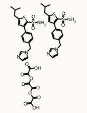 CC(C)Cc1cc(-c2ccc(Cn3ccnc3)cc2)c(S(N)(=O)=O)s1.CC(C)Cc1cc(-c2ccc(Cn3ccnc3)cc2)c(S(N)(=O)=O)s1.O=C(O)C(=O)OC(=O)C(=O)OC(=O)C(=O)O